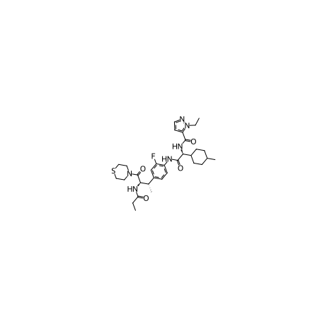 CCC(=O)N[C@@H](C(=O)N1CCSCC1)[C@@H](C)c1ccc(NC(=O)[C@@H](NC(=O)c2ccnn2CC)C2CCC(C)CC2)c(F)c1